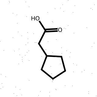 O=C(O)CC1C[CH]CC1